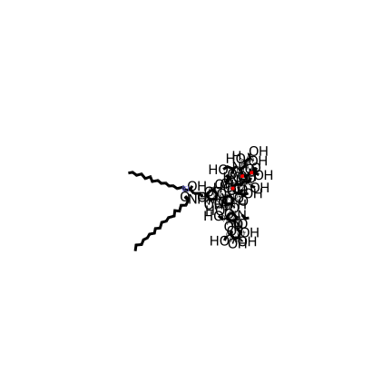 CCCCCCCCCCCCC/C=C/C(O)C(CO[C@@H]1O[C@H](CO)[C@@H](O[C@@H]2O[C@H](CO)[C@H](O[C@@H]3O[C@H](CO)[C@H](O)[C@H](O[C@@H]4O[C@H](CO)[C@H](O)[C@H](O)[C@H]4O)[C@H]3NC(C)=O)[C@H](O[C@]3(C(=O)O)C[C@H](O)[C@@H](NC(C)=O)[C@H]([C@H](O)[C@@H](CO)O[C@]4(C(=O)O)C[C@H](O)[C@@H](NC(=O)CO)[C@H]([C@H](O)[C@H](O)CO)O4)O3)[C@H]2O)[C@H](O)[C@H]1O)NC(=O)CCCCCCCCCCCCCCCCC